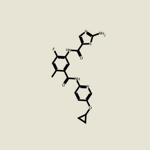 Cc1cc(F)c(NC(=O)c2cnc(N)s2)cc1C(=O)Nc1ccc(OC2CC2)cn1